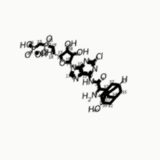 NC(C(=O)Nc1nc(Cl)nc2c1ncn2[C@@H]1O[C@H](CCP(=O)(O)CP(=O)(O)O)C(O)C1O)C12CC3C[C@H](C1)C[C@@](O)(C3)C2